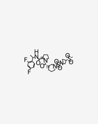 CC(NC(=O)[C@H]1CCCN1C(=O)[C@H]1CCCN(S(=O)(=O)N2CC(S(C)(=O)=O)C2)C1)c1ccc(F)cc1F